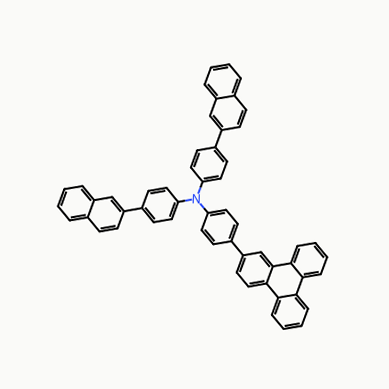 c1ccc2cc(-c3ccc(N(c4ccc(-c5ccc6ccccc6c5)cc4)c4ccc(-c5ccc6c7ccccc7c7ccccc7c6c5)cc4)cc3)ccc2c1